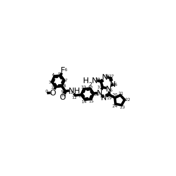 COc1ccc(F)cc1C(=O)NCc1ccc(N2N=C(C3CCCC3)N3N=CN=C(N)C32)cc1